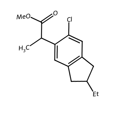 CCC1Cc2cc(Cl)c(C(C)C(=O)OC)cc2C1